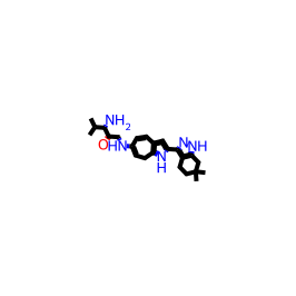 CC(C)C(N)C(=O)CNC1=CCc2[nH]c(-c3n[nH]c4c3CCC(C)(C)C4)cc2C=C1